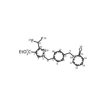 CCOC(=O)c1cn(Cc2ccc(Cn3ccccc3=O)cc2)nc1C(F)F